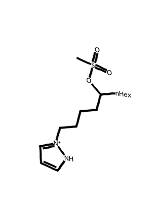 CCCCCCC(CCCC[n+]1ccc[nH]1)OS(C)(=O)=O